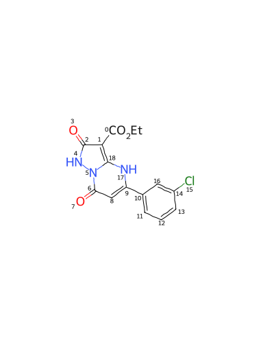 CCOC(=O)c1c(=O)[nH]n2c(=O)cc(-c3cccc(Cl)c3)[nH]c12